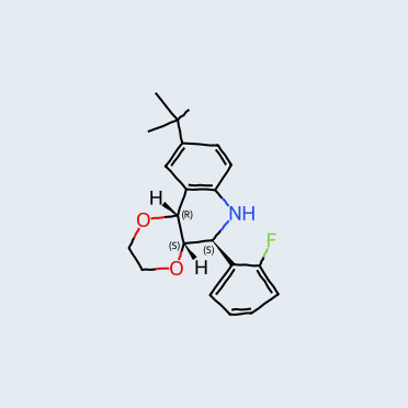 CC(C)(C)c1ccc2c(c1)[C@H]1OCCO[C@H]1[C@H](c1ccccc1F)N2